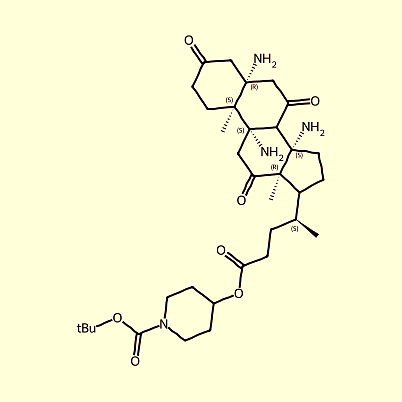 C[C@@H](CCC(=O)OC1CCN(C(=O)OC(C)(C)C)CC1)C1CC[C@]2(N)C3C(=O)C[C@]4(N)CC(=O)CC[C@]4(C)[C@]3(N)CC(=O)[C@]12C